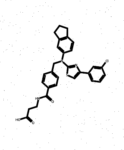 O=C(O)CCNC(=O)c1ccc(CN(c2ccc3c(c2)CCC3)c2nc(-c3cccc(Cl)c3)cs2)cc1